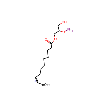 CCCCCCCC/C=C\CCCCCCCC(=O)OCC(CO)OP